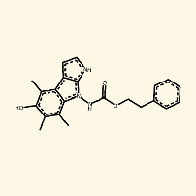 Cc1c(O)c(C)c2c3cc[nH]c3n(NC(=O)OCCc3ccccc3)c2c1C